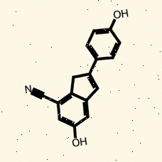 N#Cc1cc(O)cc2c1CC(c1ccc(O)cc1)=C2